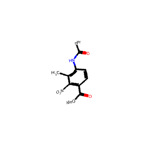 CCCC(=O)Nc1ccc(C(=O)OC)c([N+](=O)[O-])c1C